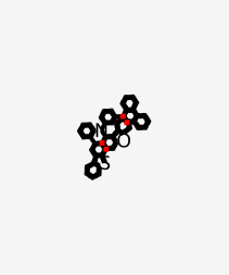 c1cc(-c2cc3ccccc3c3ccccc23)cc(N(c2ccccc2-c2ccc3sc4ccccc4c3c2)c2cccc3oc4ccccc4c23)c1